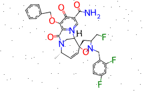 C[C@H]1C=C[C@]2(CC(CF)N(Cc3ccc(F)cc3F)O2)[C@H]2CN1C(=O)c1c(OCc3ccccc3)c(=O)c(C(N)=O)cn12